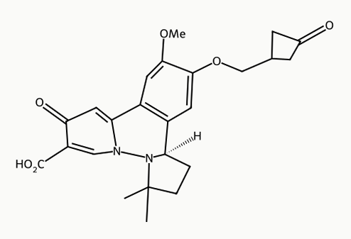 COc1cc2c(cc1OCC1CC(=O)C1)[C@H]1CCC(C)(C)N1n1cc(C(=O)O)c(=O)cc1-2